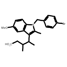 COc1ccc2c(c1)c(C(C)C(C)CC(=O)O)c(C)n2Cc1ccc(Br)cc1